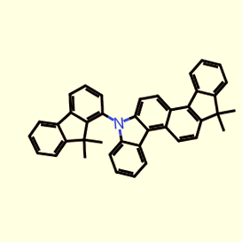 CC1(C)c2ccccc2-c2c1ccc1c2ccc2c1c1ccccc1n2-c1cccc2c1C(C)(C)c1ccccc1-2